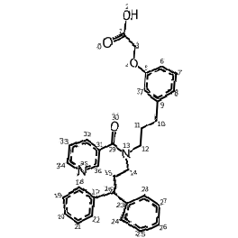 O=C(O)COc1cccc(CCCN(CCC(c2ccccc2)c2ccccc2)C(=O)c2cccnc2)c1